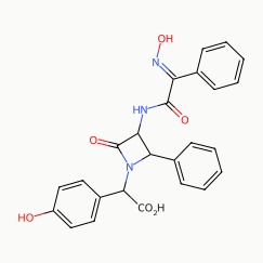 O=C(NC1C(=O)N(C(C(=O)O)c2ccc(O)cc2)C1c1ccccc1)C(=NO)c1ccccc1